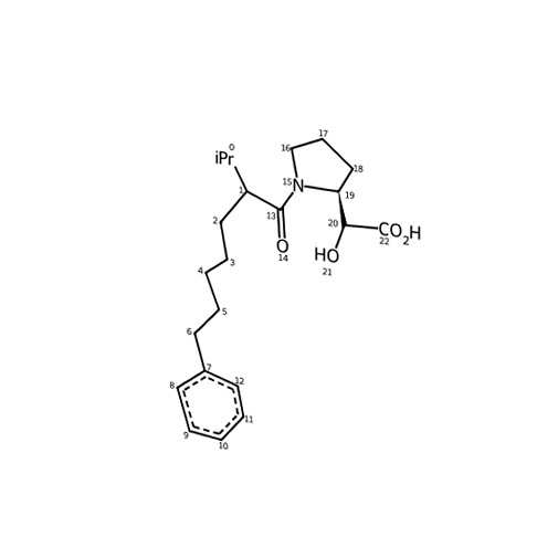 CC(C)C(CCCCCc1ccccc1)C(=O)N1CCC[C@H]1C(O)C(=O)O